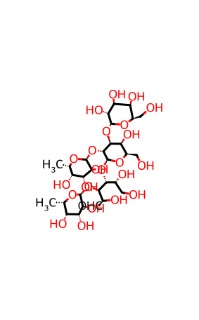 C[C@@H]1O[C@@H](O[C@H]2[C@H](O[C@@H]([C@H](O[C@@H]3O[C@@H](C)[C@@H](O)[C@@H](O)[C@@H]3O)[C@@H](O)C=O)[C@H](O)CO)O[C@H](CO)[C@H](O)[C@@H]2O[C@H]2O[C@H](CO)[C@H](O)[C@H](O)[C@H]2O)[C@@H](O)[C@H](O)[C@@H]1O